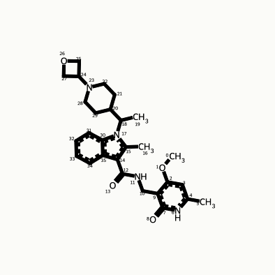 COc1cc(C)[nH]c(=O)c1CNC(=O)c1c(C)n(C(C)C2CCN(C3COC3)CC2)c2ccccc12